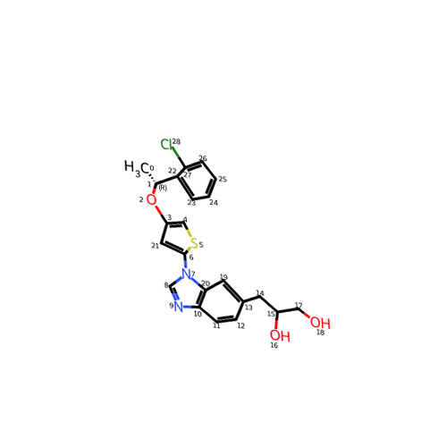 C[C@@H](Oc1csc(-n2cnc3ccc(CC(O)CO)cc32)c1)c1ccccc1Cl